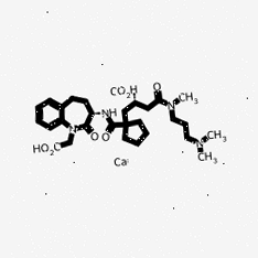 CN(C)CCCN(C)C(=O)C[C@H](CC1(C(=O)N[C@H]2CCc3ccccc3N(CC(=O)O)C2=O)CCCC1)C(=O)O.[Ca]